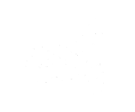 CC1(C)c2ccccc2-c2ccc(N(c3ccc(-c4ccccc4)cc3)c3ccc4c(c3)C3(c5ccccc5-c5ccccc53)c3c-4ccc4ccccc34)cc21